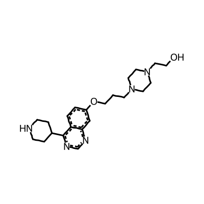 OCCN1CCN(CCCOc2ccc3c(C4CCNCC4)ncnc3c2)CC1